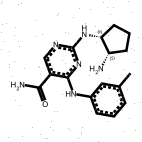 Cc1cccc(Nc2nc(N[C@@H]3CCC[C@@H]3N)ncc2C(N)=O)c1